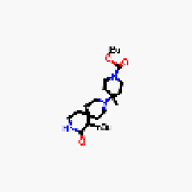 CCCCC1C(=O)NCCC12CCN(C1(C)CCN(C(=O)OC(C)(C)C)CC1)CC2